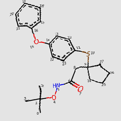 CC(C)(C)ONC(=O)CC1(Sc2ccc(Oc3ccccc3)cc2)CCCC1